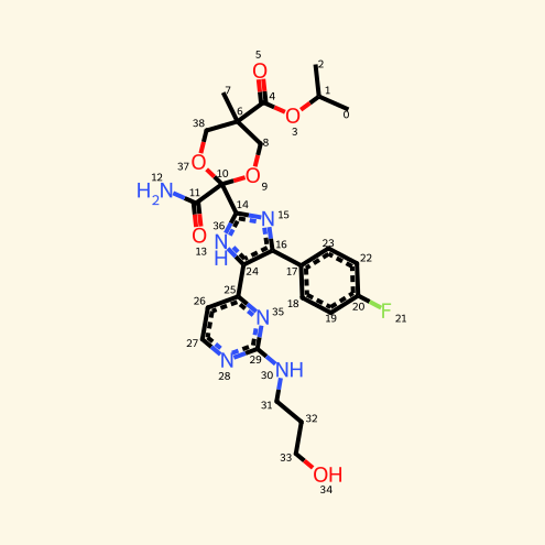 CC(C)OC(=O)C1(C)COC(C(N)=O)(c2nc(-c3ccc(F)cc3)c(-c3ccnc(NCCCO)n3)[nH]2)OC1